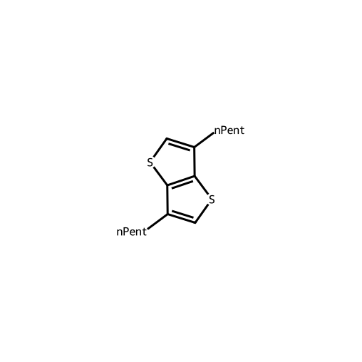 CCCCCc1csc2c(CCCCC)csc12